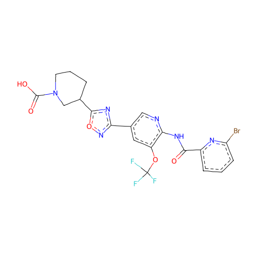 O=C(Nc1ncc(-c2noc(C3CCCN(C(=O)O)C3)n2)cc1OC(F)(F)F)c1cccc(Br)n1